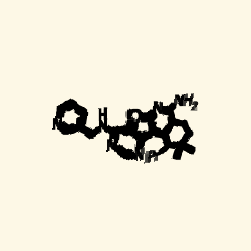 CC(C)C1c2c(c(N)nc3oc4c(NCc5cccnc5)ncnc4c23)CCC1(C)C